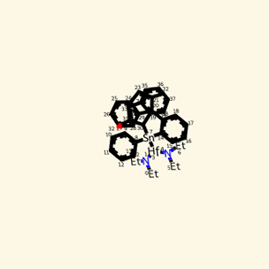 CC[N](CC)[Hf]([N](CC)CC)[Sn]([c]1ccccc1)([c]1ccccc1C1C(C)=Cc2ccccc21)[CH]1C(C)=Cc2ccccc21